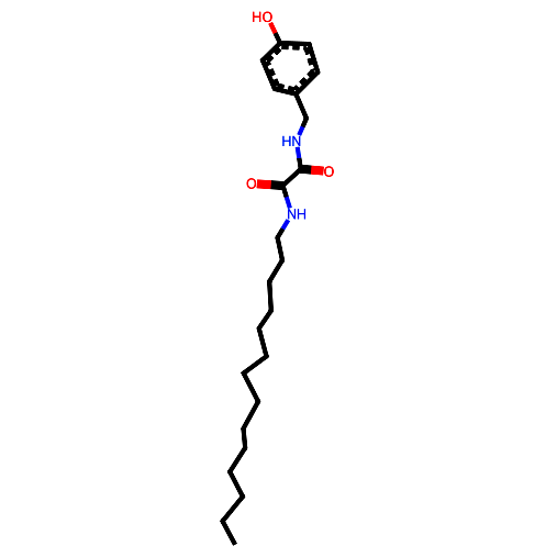 CCCCCCCCCCCCCCNC(=O)C(=O)NCc1ccc(O)cc1